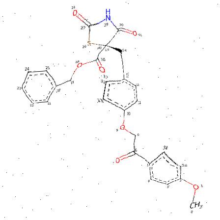 COc1ccc(C(=O)COc2ccc(C[C@@]3(C(=O)OCc4ccccc4)SC(=O)NC3=O)cc2)cc1